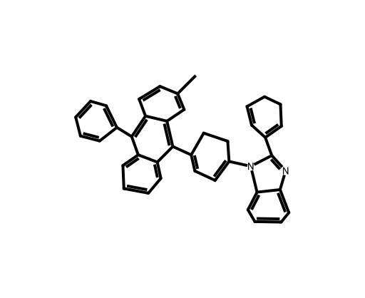 Cc1ccc2c(-c3ccccc3)c3ccccc3c(C3=CC=C(n4c(C5=CCCC=C5)nc5ccccc54)CC3)c2c1